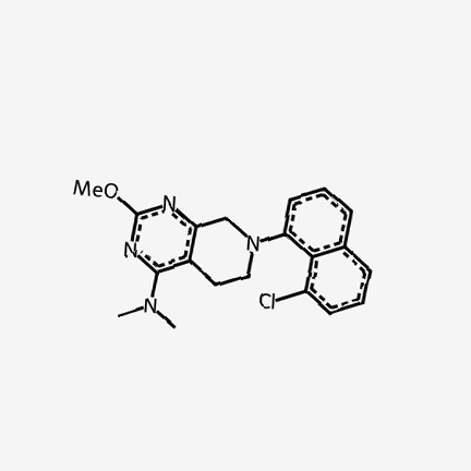 COc1nc2c(c(N(C)C)n1)CCN(c1cccc3cccc(Cl)c13)C2